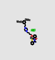 CCC1(c2ccccc2OCCCCN2CCN(CCc3cc(OC)cc(OC)c3)CC2)Sc2ccccc2C(C)[NH+]1[O-].Cl.Cl